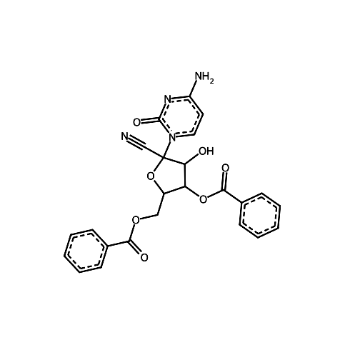 N#CC1(n2ccc(N)nc2=O)OC(COC(=O)c2ccccc2)C(OC(=O)c2ccccc2)C1O